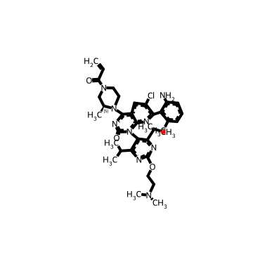 C=CC(=O)N1CCN(c2nc(=O)n(-c3c(C(C)C)nc(OCCN(C)C)nc3C(C)C)c3nc(-c4c(C)cccc4N)c(Cl)cc23)[C@@H](C)C1